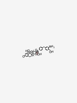 C[C@]12C=CC(=O)C=C1CC[C@@H]1[C@@H]2[C@@H](O)C[C@@]2(C)[C@H]1C[C@H]1O[C@@H](c3ccc(Cc4ccc(CO)c(N)c4)cc3)O[C@]12C(=O)CO